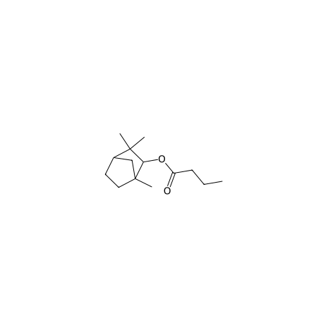 CCCC(=O)OC1C2(C)CCC(C2)C1(C)C